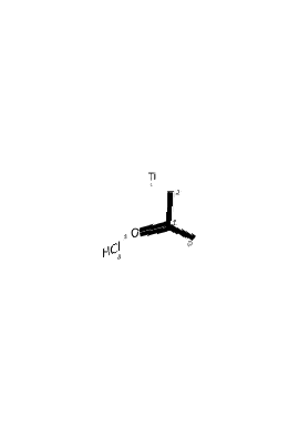 CC(C)=O.Cl.[Ti]